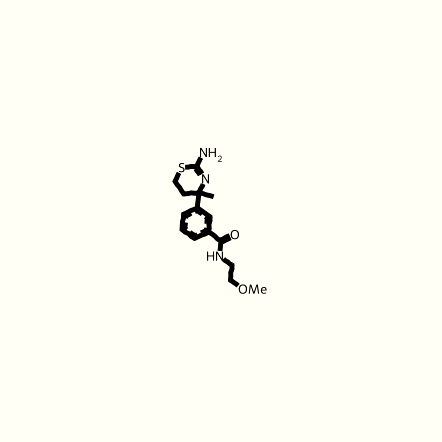 COCCNC(=O)c1cccc(C2(C)CCSC(N)=N2)c1